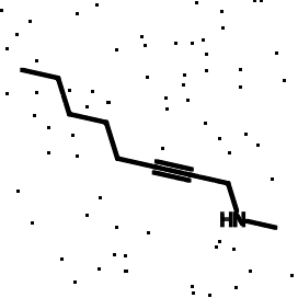 CCCCCC#CCNC